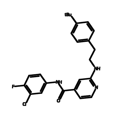 CC(C)(C)c1ccc(CCNc2cc(C(=O)Nc3ccc(F)c(Cl)c3)ccn2)cc1